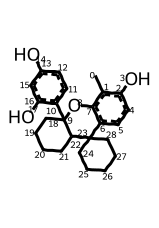 Cc1c(O)ccc2c1OC1(c3ccc(O)cc3O)CCCCC1C21CCCCC1